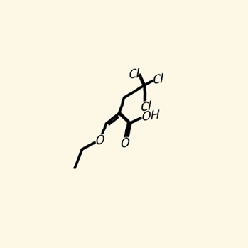 CCOC=C(CC(Cl)(Cl)Cl)C(=O)O